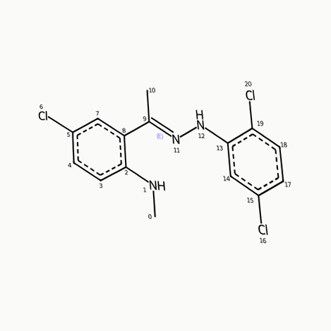 CNc1ccc(Cl)cc1/C(C)=N/Nc1cc(Cl)ccc1Cl